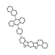 c1ccc2cc(-c3c4ccccc4c(-c4ccc(-c5ccc6oc7cc8oc9c%10ccccc%10ccc9c8cc7c6c5)cc4)c4ccccc34)ccc2c1